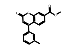 COC(=O)c1ccc2c(-c3cccc(C)c3)cc(=O)oc2c1